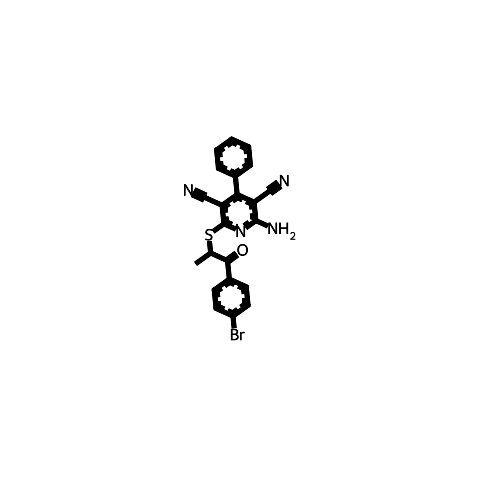 CC(Sc1nc(N)c(C#N)c(-c2ccccc2)c1C#N)C(=O)c1ccc(Br)cc1